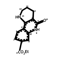 CCOC(=O)c1ccc2c3c(c(=O)[nH]c2c1)CCCN3